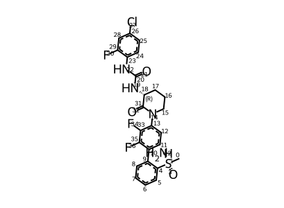 C[SH](N)(=O)c1ccccc1-c1ccc(N2CCC[C@@H](NC(=O)Nc3ccc(Cl)cc3F)C2=O)c(F)c1F